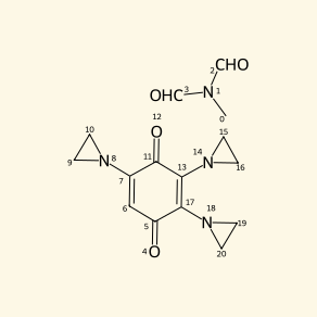 CN(C=O)C=O.O=C1C=C(N2CC2)C(=O)C(N2CC2)=C1N1CC1